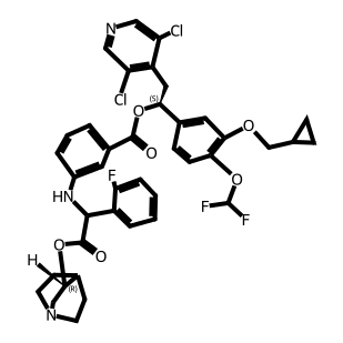 O=C(O[C@@H](Cc1c(Cl)cncc1Cl)c1ccc(OC(F)F)c(OCC2CC2)c1)c1cccc(NC(C(=O)O[C@H]2CN3CCC2CC3)c2ccccc2F)c1